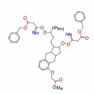 CCCCCC(CCC1C(OOC(=N)CC(=O)OCc2ccccc2)CC2Cc3c(cccc3OCC(=O)OC)CC21)OOC(=N)CC(=O)OCc1ccccc1